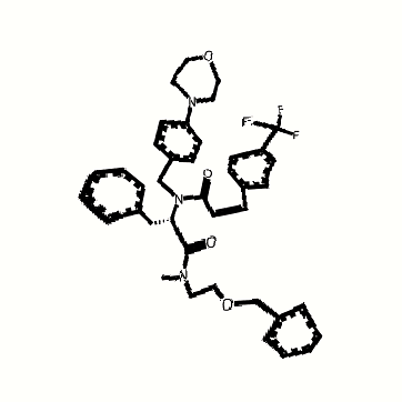 CN(CCOCc1ccccc1)C(=O)[C@H](Cc1ccccc1)N(Cc1ccc(N2CCOCC2)cc1)C(=O)C=Cc1ccc(C(F)(F)F)cc1